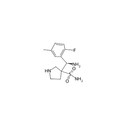 Cc1ccc(F)c([C@@H](N)C2(S(N)(=O)=O)CCNC2)c1